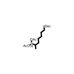 CCCCCCCCCCCCCCCC(C)[SiH](OC(C)=O)OC(C)=O